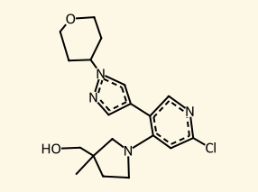 CC1(CO)CCN(c2cc(Cl)ncc2-c2cnn(C3CCOCC3)c2)C1